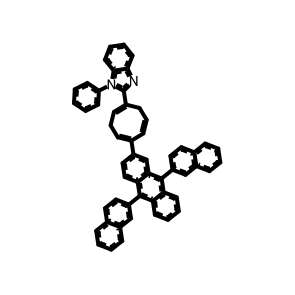 C1=C\C(c2ccc3c(-c4ccc5ccccc5c4)c4ccccc4c(-c4ccc5ccccc5c4)c3c2)=C/C/C=C(/c2nc3ccccc3n2-c2ccccc2)C/1